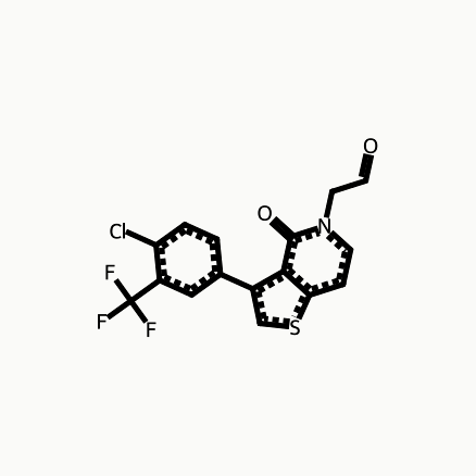 O=CCn1ccc2scc(-c3ccc(Cl)c(C(F)(F)F)c3)c2c1=O